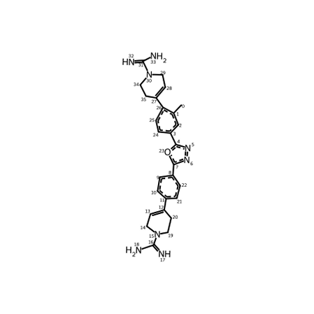 Cc1cc(-c2nnc(-c3ccc(C4=CCN(C(=N)N)CC4)cc3)o2)ccc1C1=CCN(C(=N)N)CC1